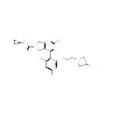 Nc1nc2c(c(-c3c(Cl)cc(Cl)cc3OCCN3CC(N)C3)n1)CN(C(=O)NC1CC1)C2